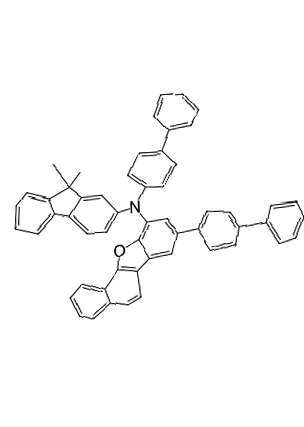 CC1(C)c2ccccc2-c2ccc(N(c3ccc(-c4ccccc4)cc3)c3cc(-c4ccc(-c5ccccc5)cc4)cc4c3oc3c5ccccc5ccc43)cc21